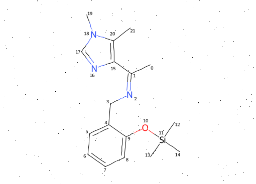 CC(=NCc1ccccc1O[Si](C)(C)C)c1ncn(C)c1C